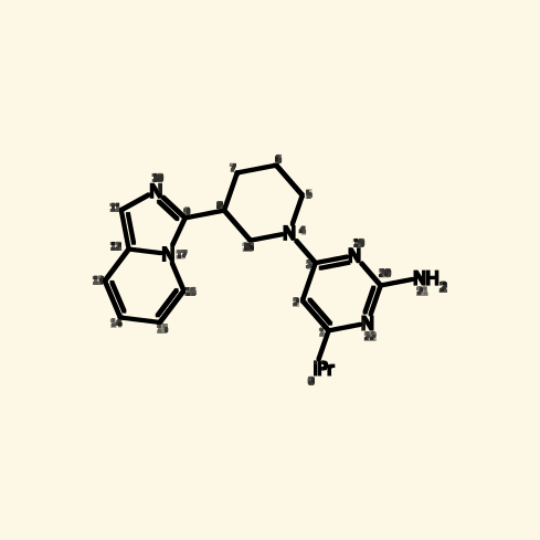 CC(C)c1cc(N2CCCC(c3ncc4ccccn34)C2)nc(N)n1